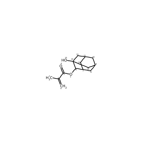 C=C(C)C(=O)OC1C2CC3CC(C2)CC1(O)C3